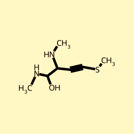 CNC(O)C(C#CSC)NC